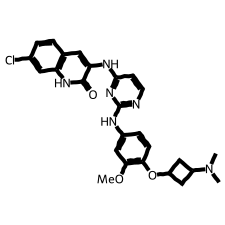 COc1cc(Nc2nccc(Nc3cc4ccc(Cl)cc4[nH]c3=O)n2)ccc1OC1CC(N(C)C)C1